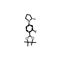 C[C@@H]1CCCN1c1ccc(C2OC(C)(C)C(C)(C)O2)c(F)c1